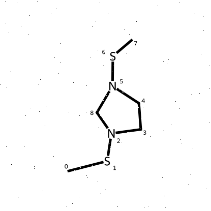 CSN1CCN(SC)C1